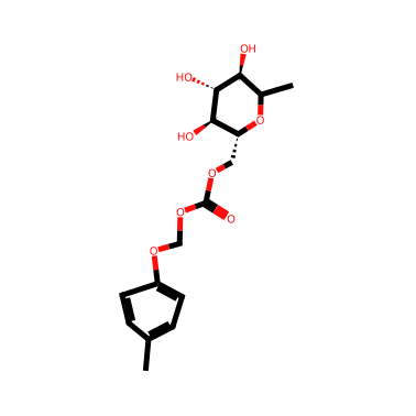 Cc1ccc(OCOC(=O)OC[C@H]2OC(C)[C@H](O)[C@@H](O)[C@@H]2O)cc1